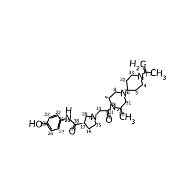 C=C(C)N1CCC(N2CCN(C(=O)CN3CC[C@@H](C(=O)Nc4ccc(O)cc4)C3)[C@H](C)C2)CC1